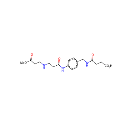 COC(=O)CCNCCC(=O)Nc1ccc(CNC(=O)CCC(=O)O)cc1